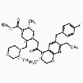 CC(=O)OCc1nc2c(cc1Cc1ccc(F)cc1)N(C(=O)CN1C[C@@H](C)N(C(=O)OC(C)(C)C)C[C@@H]1CN1CCOC[C@H]1C)[C@@H](C)CO2